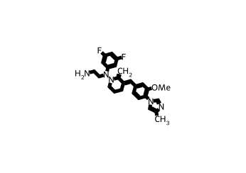 C=C1/C(=C/c2ccc(-n3cnc(C)c3)c(OC)c2)CCCN1N(CCN)c1cc(F)cc(F)c1